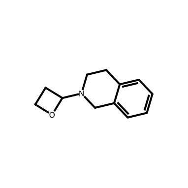 c1ccc2c(c1)CCN(C1CCO1)C2